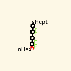 CCCCCCCC1CC=C(c2ccc(-c3ccc(-c4ccc(OCCCCCC)c(F)c4F)cc3)c(F)c2F)CC1